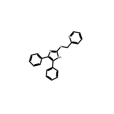 c1ccc(-c2nc(SCc3ccccn3)[nH]c2-c2ccccc2)cc1